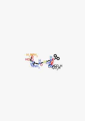 Nc1ncnc2c1c(C#CCNC(=O)CCSSCCCC(NC(=O)OCC1c3ccccc3-c3ccccc31)C(=O)NC(CC(=O)O)C(=O)NC(CC(=O)O)C(=O)O)cn2C1CC(O)C(COP(P)P)O1